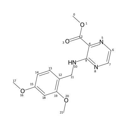 COC(=O)c1nccnc1NCc1ccc(OC)cc1OC